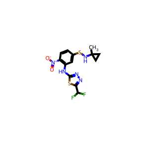 CC1(NSc2ccc([N+](=O)[O-])c(Nc3nnc(C(F)F)s3)c2)CC1